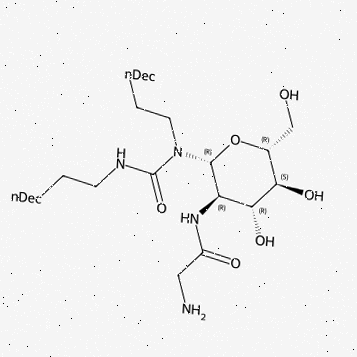 CCCCCCCCCCCCNC(=O)N(CCCCCCCCCCCC)[C@@H]1O[C@H](CO)[C@@H](O)[C@H](O)[C@H]1NC(=O)CN